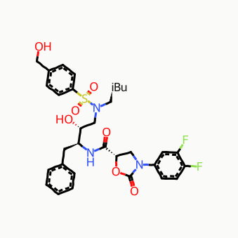 CC[C@H](C)CN(C[C@@H](O)[C@H](Cc1ccccc1)NC(=O)[C@@H]1CN(c2ccc(F)c(F)c2)C(=O)O1)S(=O)(=O)c1ccc(CO)cc1